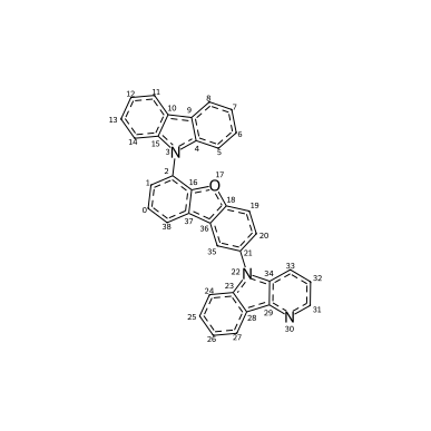 c1cc(-n2c3ccccc3c3ccccc32)c2oc3ccc(-n4c5ccccc5c5ncccc54)cc3c2c1